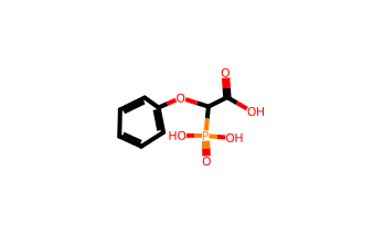 O=C(O)C(Oc1ccccc1)P(=O)(O)O